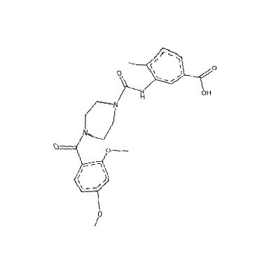 COc1ccc(C(=O)N2CCN(C(=O)Nc3cc(C(=O)O)ccc3C)CC2)c(OC)c1